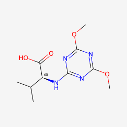 COc1nc(N[C@H](C(=O)O)C(C)C)nc(OC)n1